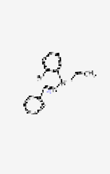 C=CC[C@H](/N=C/c1ccccc1)c1ccccc1Br